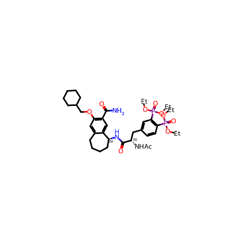 CCOP(=O)(OCC)c1ccc(C[C@H](NC(C)=O)C(=O)N[C@H]2CCCCc3cc(OCC4CCCCC4)c(C(N)=O)cc32)cc1P(=O)(OCC)OCC